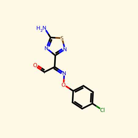 Nc1nc(/C([C]=O)=N/Oc2ccc(Cl)cc2)ns1